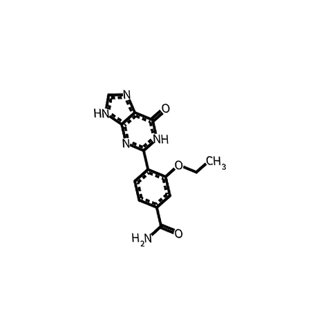 CCOc1cc(C(N)=O)ccc1-c1nc2[nH]cnc2c(=O)[nH]1